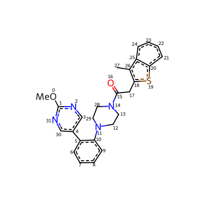 COc1ncc(-c2ccccc2N2CCN(C(=O)Cc3sc4ccccc4c3C)CC2)cn1